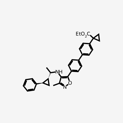 CCOC(=O)C1(c2ccc(-c3ccc(-c4onc(C)c4NC(C)[C@@H]4C[C@H]4c4ccccc4)cc3)cc2)CC1